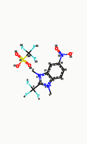 Cn1c(C(F)(F)F)[n+](C)c2ccc([N+](=O)[O-])cc21.O=S(=O)([O-])C(F)(F)F